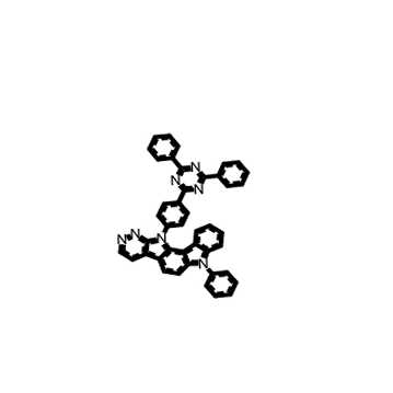 c1ccc(-c2nc(-c3ccccc3)nc(-c3ccc(-n4c5nnccc5c5ccc6c(c7ccccc7n6-c6ccccc6)c54)cc3)n2)cc1